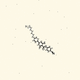 CCCCCCCC1=CCC(c2cc(F)c(C(=O)Oc3ccc(C#N)cc3)c(F)c2)C=C1